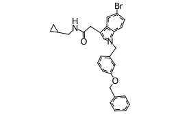 O=C(Cc1cn(Cc2cccc(OCc3ccccc3)c2)c2ccc(Br)cc12)NCC1CC1